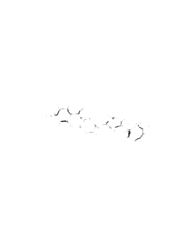 O=C(c1c(F)cc(F)cc1F)N1CCC[C@H](c2noc(-c3ccccn3)n2)C1